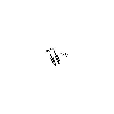 N#CS.N#CS.[PbH2]